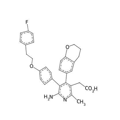 Cc1nc(N)c(-c2ccc(OCCc3ccc(F)cc3)cc2)c(-c2ccc3c(c2)CCCO3)c1CC(=O)O